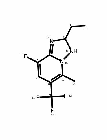 CCC1N=C2C(F)=CC(C(F)(F)F)=C(C)N2N1